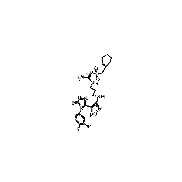 N/C(=N/S(=O)(=O)CC1CCCCC1)NCCCNc1nonc1-c1noc(=O)n1-c1ccc(F)c(Br)c1